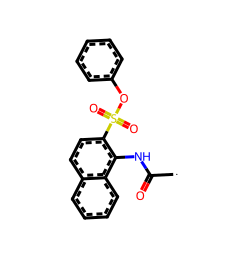 [CH2]C(=O)Nc1c(S(=O)(=O)Oc2ccccc2)ccc2ccccc12